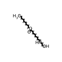 CCCCCCCCCOC(=O)CCCCCCCNCCO